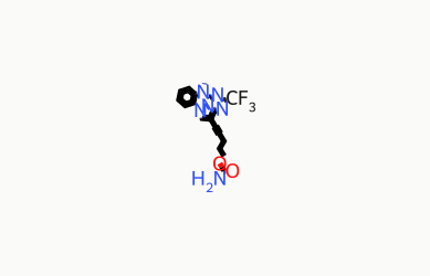 CN(c1ccccc1)c1nc(C(F)(F)F)nc2c(C#CCCCOC(N)=O)cnn12